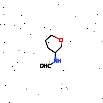 O=CN[C@H]1CCCOC1